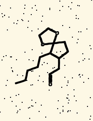 CCCCCC1C(CC=O)CCC12OCCO2